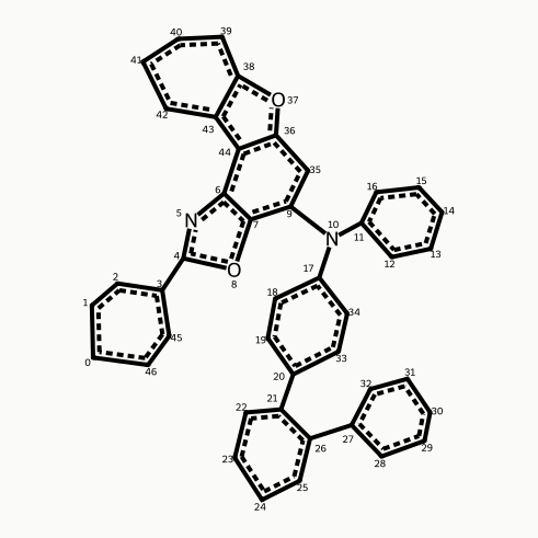 c1ccc(-c2nc3c(o2)c(N(c2ccccc2)c2ccc(-c4ccccc4-c4ccccc4)cc2)cc2oc4ccccc4c23)cc1